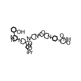 CC(C)c1cc(C2(C(=O)N(C)C3CCN([C@H]4COC5(CCN(c6ccc([C@H]7CCC(=O)NC7=O)cc6)CC5)C4)CC3)CCN(c3cnnc(-c4ccccc4O)c3)CC2)no1